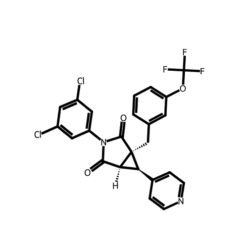 O=C1[C@@H]2[C@H](c3ccncc3)[C@]2(Cc2cccc(OC(F)(F)F)c2)C(=O)N1c1cc(Cl)cc(Cl)c1